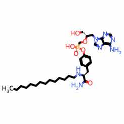 CCCCCCCCCCCCCCN[C@@H](Cc1ccc(OP(=O)(O)CO[C@H](CO)Cn2cnc3c(N)ncnc32)cc1)C(N)=O